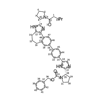 CC(C)CC(=O)N1CCC[C@H]1c1nc2c([nH]1)CCCc1cc(-c3ccc(-c4cnc([C@@H]5CCCN5C(=O)OCc5ccccc5)[nH]4)cc3)ccc1-2